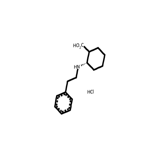 Cl.O=C(O)C1CCCC[C@@H]1NCCc1ccccc1